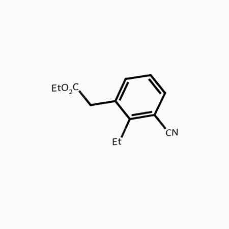 CCOC(=O)Cc1cccc(C#N)c1CC